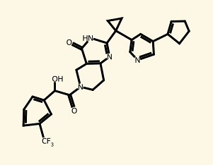 O=C(C(O)c1cccc(C(F)(F)F)c1)N1CCc2nc(C3(c4cncc(C5=CCCC5)c4)CC3)[nH]c(=O)c2C1